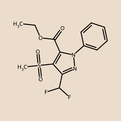 CCOC(=O)c1c(S(C)(=O)=O)c(C(F)F)nn1-c1ccccc1